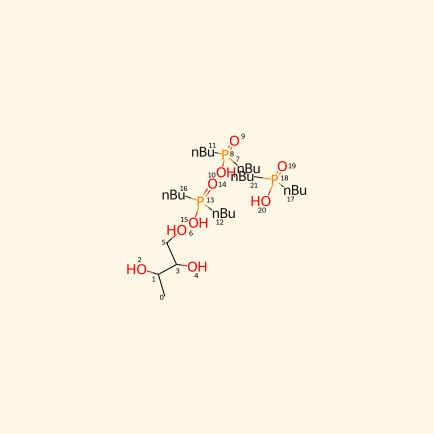 CC(O)C(O)CO.CCCCP(=O)(O)CCCC.CCCCP(=O)(O)CCCC.CCCCP(=O)(O)CCCC